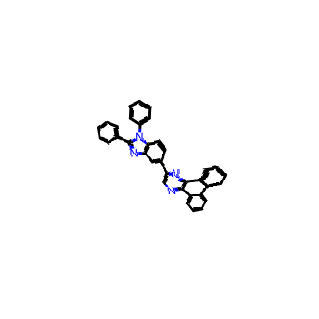 c1ccc(-c2nc3cc(-c4cnc5c6ccccc6c6ccccc6c5n4)ccc3n2-c2ccccc2)cc1